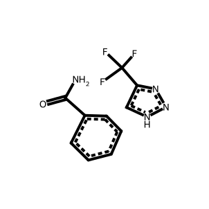 FC(F)(F)c1c[nH]nn1.NC(=O)c1ccccc1